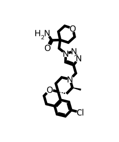 C[C@H]1C[C@@]2(CCN1Cc1cn(CC3(C(N)=O)CCOCC3)nn1)OCCc1ccc(Cl)cc12